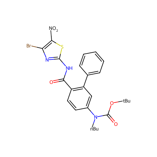 CCCCN(C(=O)OC(C)(C)C)c1ccc(C(=O)Nc2nc(Br)c([N+](=O)[O-])s2)c(-c2ccccc2)c1